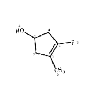 CC1=C(F)CC(O)C1